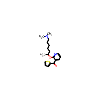 CC(CCCCCN(C)C)Oc1ncccc1C(=O)c1cccs1